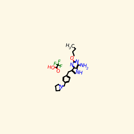 CCCCOc1nc(N)c2[nH]cc(Cc3ccc(CN4CCCC4)cc3)c2n1.O=C(O)C(F)(F)F